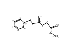 NOC(=O)CCC(=O)CCc1ccccc1